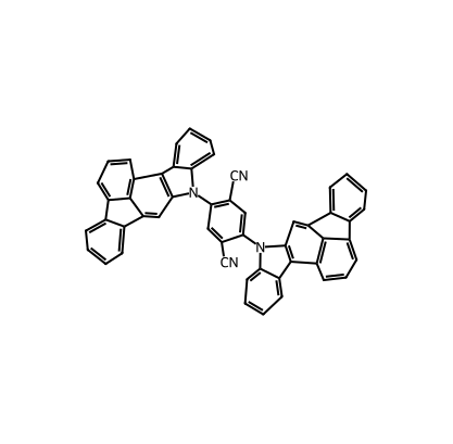 N#Cc1cc(-n2c3ccccc3c3c4cccc5c4c(cc32)-c2ccccc2-5)c(C#N)cc1-n1c2ccccc2c2c3cccc4c3c(cc21)-c1ccccc1-4